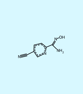 N#Cc1ccc(C(N)=NO)nc1